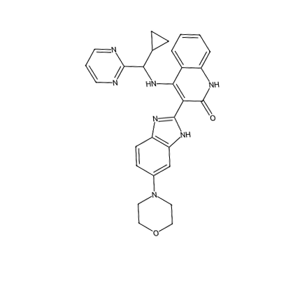 O=c1[nH]c2ccccc2c(NC(c2ncccn2)C2CC2)c1-c1nc2ccc(N3CCOCC3)cc2[nH]1